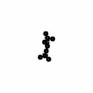 c1ccc(-c2cc(-c3ccccc3)nc(-c3ccc(-c4ccc5oc6c(-c7nc(-c8ccccc8)cc(-c8ccccc8)n7)cccc6c5c4)cc3)n2)cc1